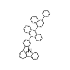 c1ccc(-c2ccc(-c3c4ccccc4c(-c4ccc5c6cccc7c8ccccc8n(c5c4)c76)c4ccccc34)c3ccccc23)cc1